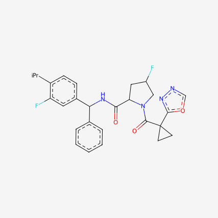 CC(C)c1ccc(C(NC(=O)C2CC(F)CN2C(=O)C2(c3nnco3)CC2)c2ccccc2)cc1F